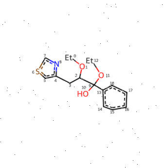 CCOC(Cc1cscn1)C(O)(OCC)c1ccccc1